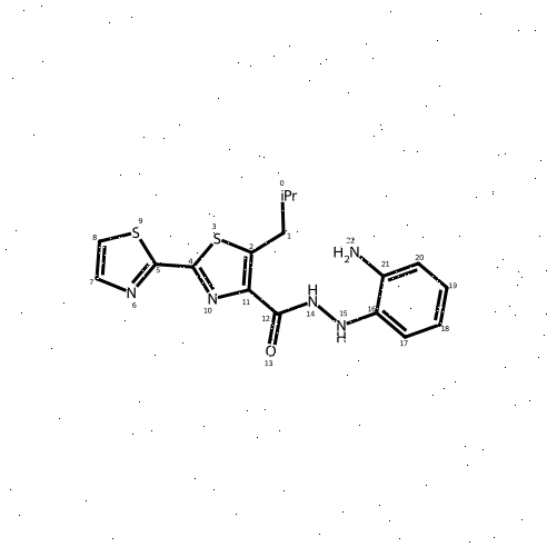 CC(C)Cc1sc(-c2nccs2)nc1C(=O)NNc1ccccc1N